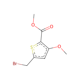 COC(=O)c1sc(CBr)cc1OC